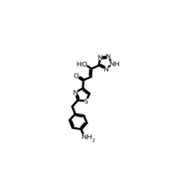 Nc1ccc(Cc2nc(C(=O)C=C(O)c3nn[nH]n3)cs2)cc1